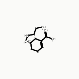 CNCCO.O=C(O)C1=CCCCC1